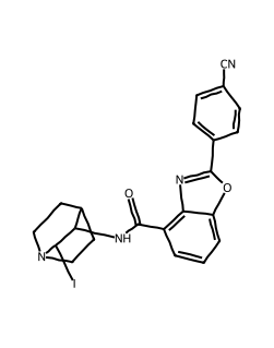 N#Cc1ccc(-c2nc3c(C(=O)NC4C5CCN(CC5)C4I)cccc3o2)cc1